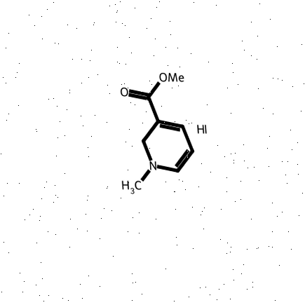 COC(=O)C1=CC=CN(C)C1.I